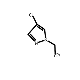 CCCCn1cc(Cl)cn1